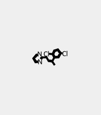 CC(=CCc1ncccn1)c1cc(Cl)ccc1Cl